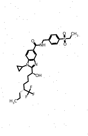 CCC[C@H](CCC[C@H](O)c1nc2cc(C(=O)NCc3ccc(S(=O)(=O)CC)cc3)ccc2n1C1CC1)C(F)(F)F